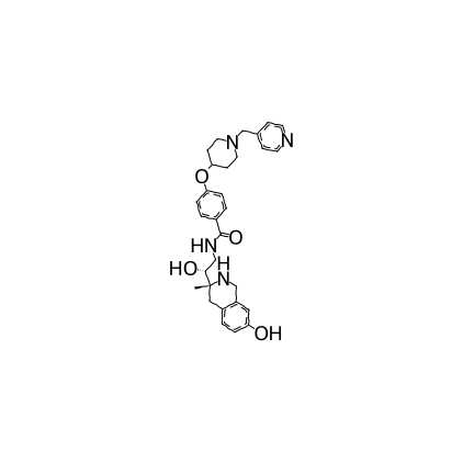 C[C@]1([C@H](O)CNC(=O)c2ccc(OC3CCN(Cc4ccncc4)CC3)cc2)Cc2ccc(O)cc2CN1